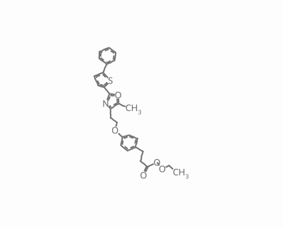 CCOOC(=O)CCc1ccc(OCCc2nc(-c3ccc(-c4ccccc4)s3)oc2C)cc1